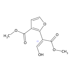 COC(=O)/C(=C\O)c1occc1C(=O)OC